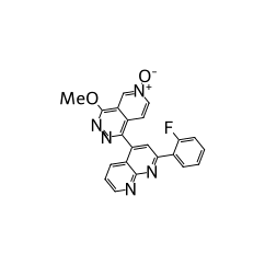 COc1nnc(-c2cc(-c3ccccc3F)nc3ncccc23)c2cc[n+]([O-])cc12